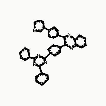 c1ccc(-c2nc(-c3ccccc3)nc(-c3ccc(-c4nc5ccccc5nc4-c4ccc(-c5cccnc5)cc4)cc3)n2)cc1